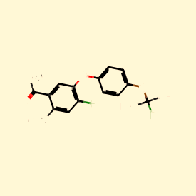 COC(=O)c1cc(Oc2ccc(SC(F)(C(F)(F)F)C(F)(F)F)cc2)c(F)cc1[N+](=O)[O-]